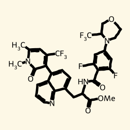 COC(=O)C(Cc1ccc(-c2c(C(F)(F)F)cc(C)n(C)c2=O)c2cccnc12)NC(=O)c1c(F)cc(N2CCOCC2C(F)(F)F)cc1F